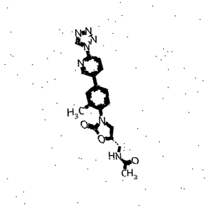 CC(=O)NC[C@H]1CN(c2ccc(-c3ccc(-n4cnnn4)nc3)cc2C)C(=O)O1